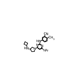 CCCc1cc(N2CC[C@H](NC3CCC3)C2)nc(Nc2ccc(C)c(C#N)c2)n1